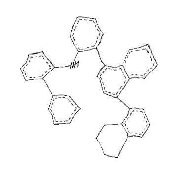 c1ccc(-c2ccccc2Nc2ccccc2-c2ccc(-c3cccc4c3CCCC4)c3ccccc23)cc1